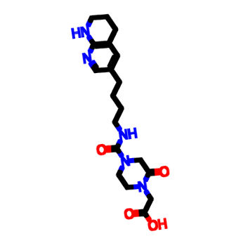 O=C(O)CN1CCN(C(=O)NCCCCc2cnc3c(c2)CCCN3)CC1=O